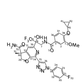 COc1cc(C(=O)NCC(O)(c2cc3c(c(-c4cn(-c5ccc(F)cc5)nn4)n2)OC[C@]3(C)C(N)=O)C(F)(F)F)ccc1OC1CC1